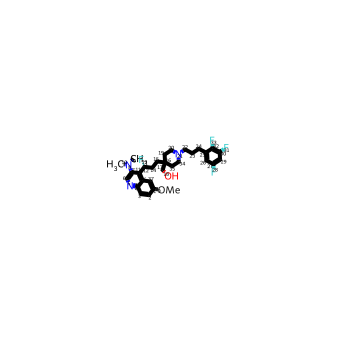 COc1ccc2ncc(N(C)C)c([C@H](F)CCC3(CO)CCN(CCCc4cc(F)cc(F)c4F)CC3)c2c1